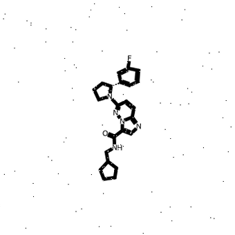 O=C(NCC1CCCC1)c1cnc2ccc(N3CCC[C@@H]3c3cccc(F)c3)nn12